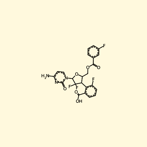 Nc1ccn(C2OC(COC(=O)c3cccc(F)c3)C(c3c(F)cccc3C(=O)O)C2(F)F)c(=O)n1